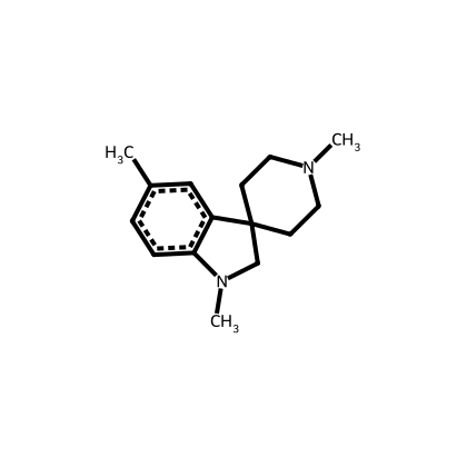 Cc1ccc2c(c1)C1(CCN(C)CC1)CN2C